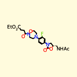 CCOC(=O)CCC(=O)N1CCN(c2ccc(N3C[C@H](CNC(C)=O)OC3=O)cc2F)CCO1